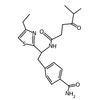 CCc1csc(C(Cc2ccc(C(N)=O)cc2)NC(=O)CCC(=O)C(C)C)n1